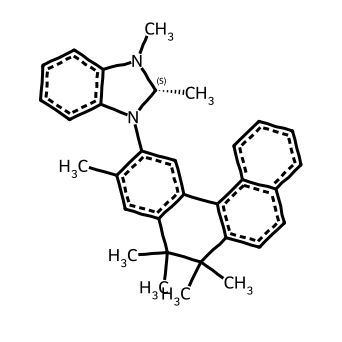 Cc1cc2c(cc1N1c3ccccc3N(C)[C@@H]1C)-c1c(ccc3ccccc13)C(C)(C)C2(C)C